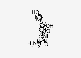 CON=C(C(=O)N[C@@H]1C(=O)N2C(C(=O)O)=C(CSc3ccc(O)nn3)CS[C@@H]12)c1csc(N)n1